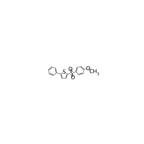 COc1ccc(S(=O)(=O)c2ccc(-c3ccccc3)s2)cc1